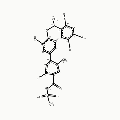 Cc1cc(C(=O)NS(C)(=O)=O)c(F)cc1-c1cnc(O[C@@H](C)c2cc(F)c(F)cc2F)c(Cl)c1